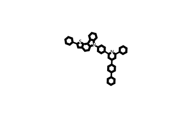 c1ccc(-c2ccc(-c3cc(-c4ccccc4)nc(-c4ccc(-n5c6ccccc6c6c7sc(-c8ccccc8)cc7ccc65)cc4)c3)cc2)cc1